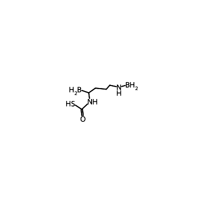 BNCCCC(B)NC(=O)S